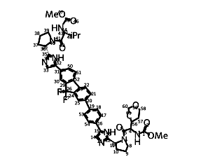 COC(=O)NC(C(=O)N1CCC[C@H]1c1ncc(-c2ccc(-c3ccc4c(c3)C(F)(F)c3cc(-c5cnc([C@@H]6CCCN6C(=O)[C@@H](NC(=O)OC)C(C)C)[nH]5)ccc3-4)cc2)[nH]1)C1CCOCC1